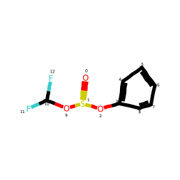 O=S(Oc1ccccc1)OC(F)F